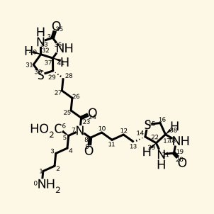 NCCCC[C@@H](C(=O)O)N(C(=O)CCCC[C@@H]1SC[C@@H]2NC(=O)N[C@@H]21)C(=O)CCCC[C@@H]1SC[C@@H]2NC(=O)N[C@@H]21